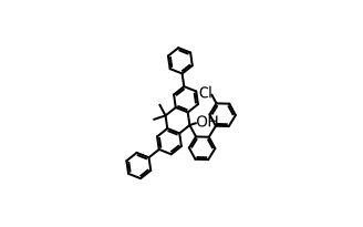 CC1(C)c2cc(-c3ccccc3)ccc2C(O)(c2ccccc2-c2cccc(Cl)c2)c2ccc(-c3ccccc3)cc21